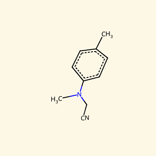 Cc1ccc(N(C)CC#N)cc1